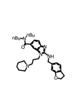 CCCCN(CCCC)C(=O)c1ccc2nc(NCc3ccc4c(c3)OCC4)n(CCCN3CCCCC3)c2c1